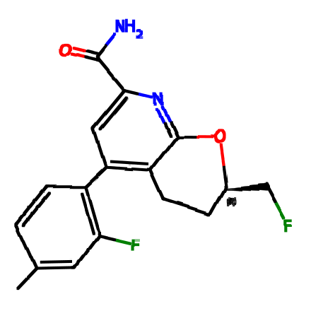 Cc1ccc(-c2cc(C(N)=O)nc3c2CC[C@H](CF)O3)c(F)c1